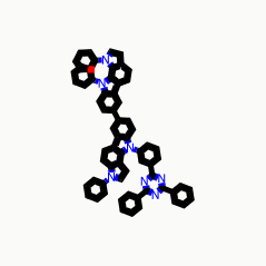 c1ccc(-c2nc(-c3ccccc3)nc(-c3cccc(-n4c5ccc(-c6ccc7c(c6)c6ccc8ccn(-c9ccccc9)c8c6n7-c6ccccc6)cc5c5ccc6c(ccn6-c6ccccc6)c54)c3)n2)cc1